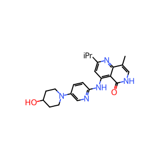 Cc1c[nH]c(=O)c2c(Nc3ccc(N4CCC(O)CC4)cn3)cc(C(C)C)nc12